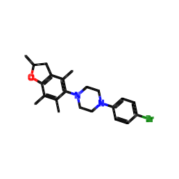 Cc1c(C)c(N2CCN(c3ccc(Br)cc3)CC2)c(C)c2c1OC(C)C2